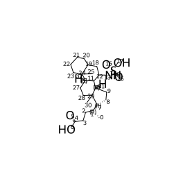 C[C@H](CCC(=O)O)[C@H]1CC[C@H]2C3C(NS(=O)(=O)O)CC4CCCCC4(C)[C@H]3CCC12C